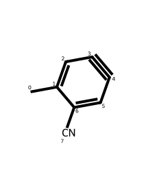 Cc1cc#ccc1C#N